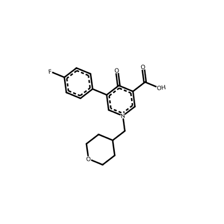 O=C(O)c1cn(CC2CCOCC2)cc(-c2ccc(F)cc2)c1=O